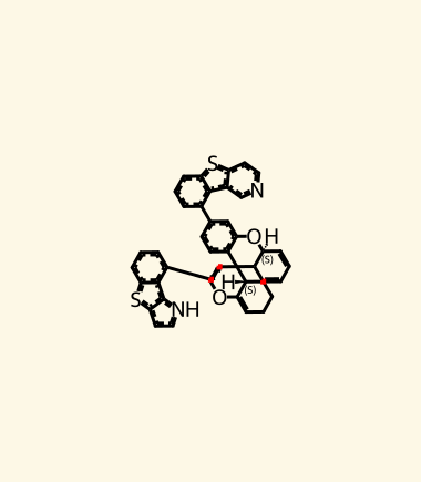 C1=CC2[C@H](C=C1)Oc1cc(-c3cccc4sc5ccncc5c34)ccc1C21C2C=CC(c3cccc4sc5cc[nH]c5c34)=CC2OC2=CCCC[C@H]21